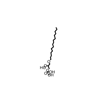 CCCCCCCCCCCCCCCCOCC(COP(=O)(O)O)OO